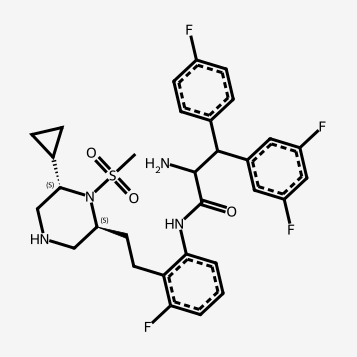 CS(=O)(=O)N1[C@@H](CCc2c(F)cccc2NC(=O)C(N)C(c2ccc(F)cc2)c2cc(F)cc(F)c2)CNC[C@@H]1C1CC1